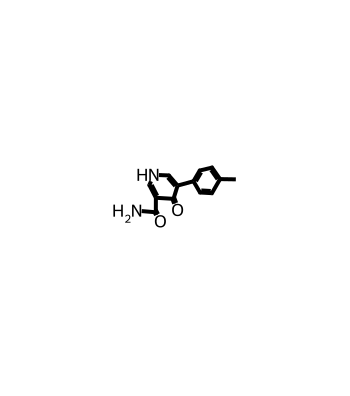 Cc1ccc(-c2c[nH]cc(C(N)=O)c2=O)cc1